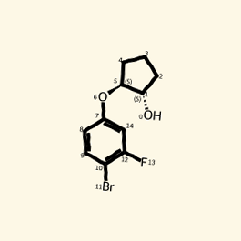 O[C@H]1CCC[C@@H]1Oc1ccc(Br)c(F)c1